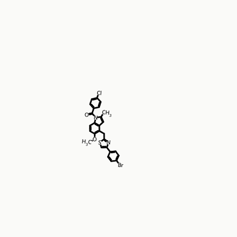 COc1ccc2c(cc(C)n2C(=O)c2ccc(Cl)cc2)c1Cc1nc(-c2ccc(Br)cc2)cs1